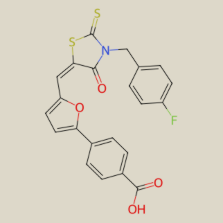 O=C(O)c1ccc(-c2ccc(C=C3SC(=S)N(Cc4ccc(F)cc4)C3=O)o2)cc1